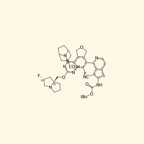 CC(C)(C)OC(=O)Nc1sc2ccnc(-c3c4c(c5c(N6C7CCC6CN(C(=O)O)C7)nc(OC[C@@]67CCCN6C[C@H](F)C7)nc5c3F)COC4)c2c1C#N